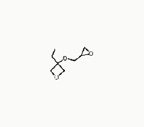 CCC1(OCC2CO2)COC1